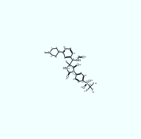 CN1CCC(c2cc(C(NC=O)C3(C)NC(=O)N(c4ccc(S(=O)(=O)C(F)(F)F)cc4)C3=O)ccn2)CC1